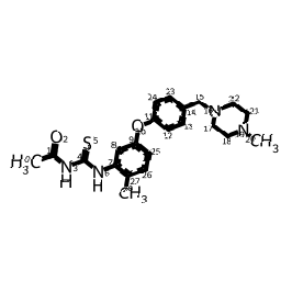 CC(=O)NC(=S)Nc1cc(Oc2ccc(CN3CCN(C)CC3)cc2)ccc1C